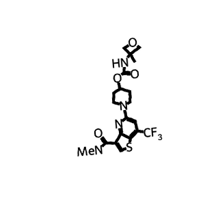 CNC(=O)c1csc2c(C(F)(F)F)cc(N3CCC(OC(=O)NC4(C)COC4)CC3)nc12